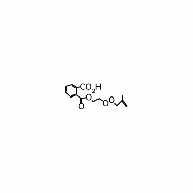 C=C(C)COOCCOC(=O)c1ccccc1C(=O)O